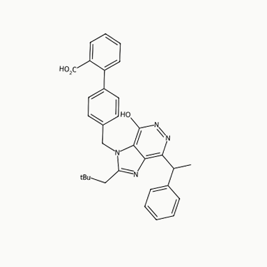 CC(c1ccccc1)c1nnc(O)c2c1nc(CC(C)(C)C)n2Cc1ccc(-c2ccccc2C(=O)O)cc1